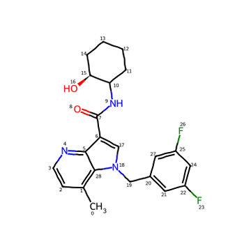 Cc1ccnc2c(C(=O)NC3CCCC[C@@H]3O)cn(Cc3cc(F)cc(F)c3)c12